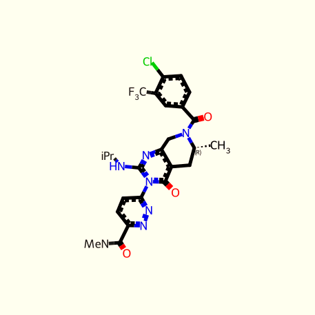 CNC(=O)c1ccc(-n2c(NC(C)C)nc3c(c2=O)C[C@@H](C)N(C(=O)c2ccc(Cl)c(C(F)(F)F)c2)C3)nn1